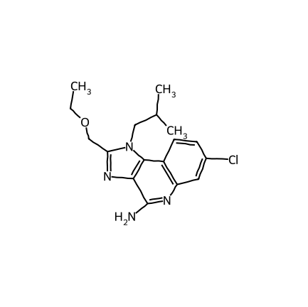 CCOCc1nc2c(N)nc3cc(Cl)ccc3c2n1CC(C)C